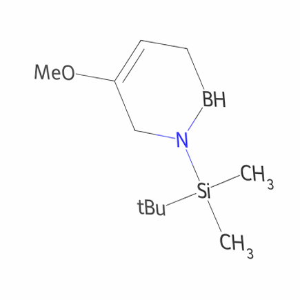 COC1=CCBN([Si](C)(C)C(C)(C)C)C1